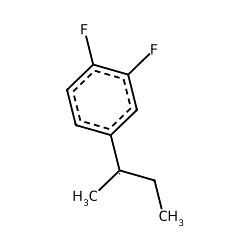 CC[C](C)c1ccc(F)c(F)c1